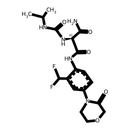 CC(C)NC(=O)N[C@@H](C(N)=O)C(=O)Nc1ccc(N2CCOCC2=O)cc1C(F)F